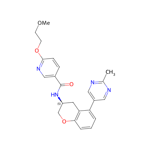 COCCOc1ccc(C(=O)N[C@@H]2COc3cccc(-c4cnc(C)nc4)c3C2)cn1